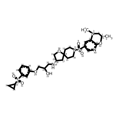 C[C@H]1CN(C)c2cc(S(=O)(=O)N3CCC4(CC3)C[C@H](NCC(O)COc3cccc(S(=O)(=O)C5CC5)c3)CO4)cnc2O1